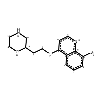 Brc1cccc2c(OCCC3CNCCO3)ccnc12